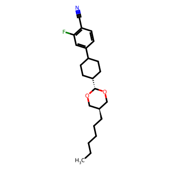 CCCCCC[C@H]1CO[C@H](C2CCC(c3ccc(C#N)c(F)c3)CC2)OC1